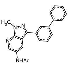 CC(=O)Nc1cnc2c(c1)c(-c1cccc(-c3ccccc3)c1)nn2C